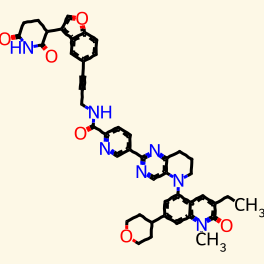 CCc1cc2c(N3CCCc4nc(-c5ccc(C(=O)NCC#Cc6ccc7occ(C8CCC(=O)NC8=O)c7c6)nc5)ncc43)cc(C3CCOCC3)cc2n(C)c1=O